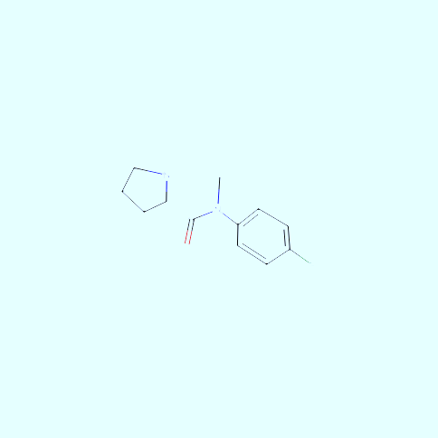 CN(C(=O)[C@@H]1CCCN1)c1ccc(F)cc1